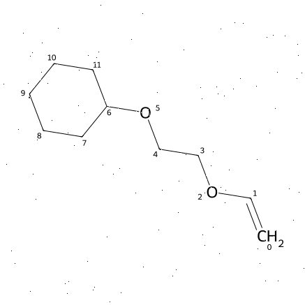 C=COCCOC1CC[CH]CC1